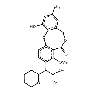 COc1c(C(C2CCCCO2)C(O)C(C)C)ccc2c1C(=O)OCc1cc(C)cc(O)c1O2